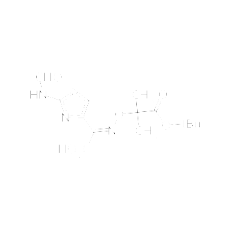 CC(C)(C)OC(=O)C(C)(C)O/N=C(/C(=O)O)c1csc(NC=O)n1